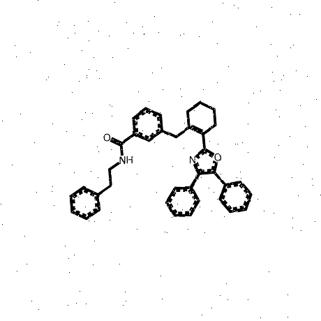 O=C(NCCc1ccccc1)c1cccc(CC2=C(c3nc(-c4ccccc4)c(-c4ccccc4)o3)CCCC2)c1